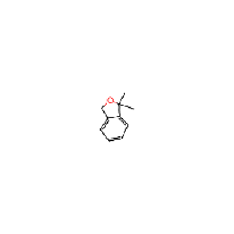 CC1(C)OCc2ccccc21